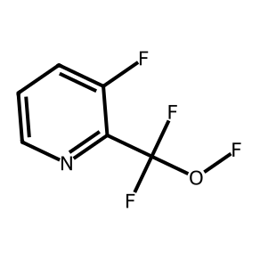 FOC(F)(F)c1ncccc1F